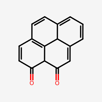 O=C1C=CC2=C3C1C(=O)C=C1C=CC=C(C=C2)C13